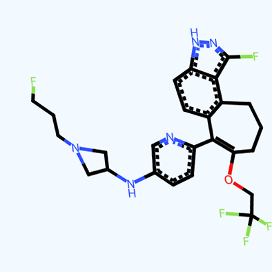 FCCCN1CC(Nc2ccc(C3=C(OCC(F)(F)F)CCCc4c3ccc3[nH]nc(F)c43)nc2)C1